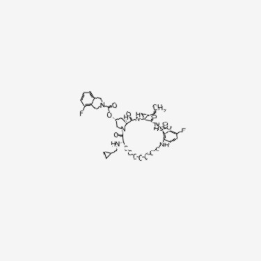 C=C[C@@H]1C[C@@]12NC(=O)[C@@H]1C[C@@H](OC(=O)N3Cc4cccc(F)c4C3)CN1C(=O)[C@@H](NCC1CC1)CCCCCCCNc1ccc(F)cc1S(=O)(=O)NC2=O